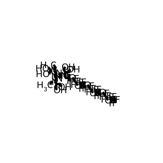 CCN(c1nc(N(CC)C(CO)CO)nc(N(CC(F)(F)OC(F)(F)C(F)(F)OC(F)(F)C(F)(F)OC(F)(F)C(F)(F)OC(F)(F)C(F)(F)OC(F)(F)C(F)(F)OC(F)(F)C(F)(F)F)C(CO)CO)n1)C(CO)CO